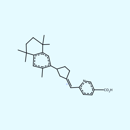 Cc1cc2c(cc1C1CC/C(=C\c3ccc(C(=O)O)cn3)C1)C(C)(C)CCC2(C)C